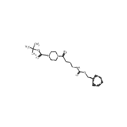 CC(C)(C)OC(=O)N1CCN(C(=O)CCCNC(=O)OCc2ccccc2)CC1